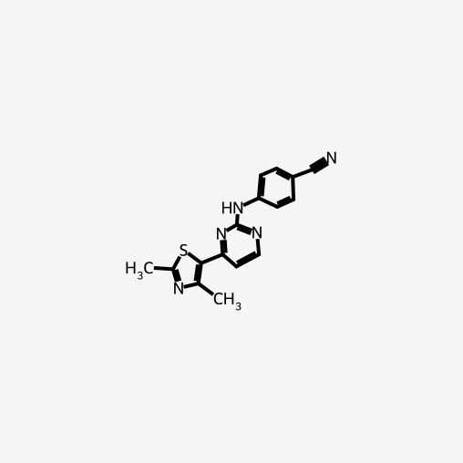 Cc1nc(C)c(-c2ccnc(Nc3ccc(C#N)cc3)n2)s1